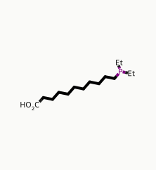 CCP(CC)CCCCCCCCCCC(=O)O